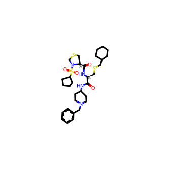 O=C(NC1CCN(Cc2ccccc2)CC1)[C@H](CSCC1CCCCC1)NC(=O)[C@@H]1CSCN1S(=O)(=O)C1CCCC1